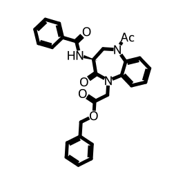 CC(=O)N1C[C@H](NC(=O)c2ccccc2)C(=O)N(CC(=O)OCc2ccccc2)c2ccccc21